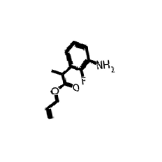 C=CCOC(=O)C(C)c1cccc(N)c1F